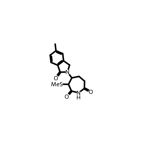 CSC1C(=O)NC(=O)CCC1N1Cc2cc(C)ccc2C1=O